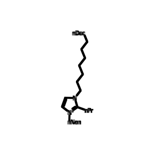 CCCCCCCCCCCCCCCCCn1cc[n+](CCCCCCCCC)c1CCC